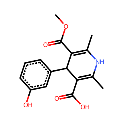 COC(=O)C1=C(C)NC(C)=C(C(=O)O)C1c1cccc(O)c1